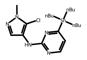 CCC[CH2][Sn]([CH2]CCC)([CH2]CCC)[c]1ccnc(Nc2cnn(C)c2Cl)n1